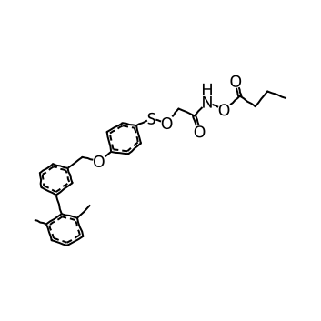 CCCC(=O)ONC(=O)COSc1ccc(OCc2cccc(-c3c(C)cccc3C)c2)cc1